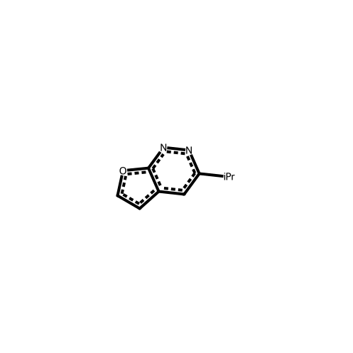 CC(C)c1cc2ccoc2nn1